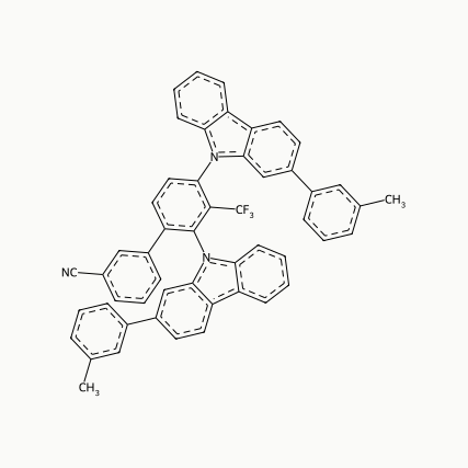 Cc1cccc(-c2ccc3c4ccccc4n(-c4ccc(-c5cccc(C#N)c5)c(-n5c6ccccc6c6ccc(-c7cccc(C)c7)cc65)c4C(F)(F)F)c3c2)c1